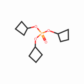 O=P(OC1CCC1)(OC1CCC1)OC1CCC1